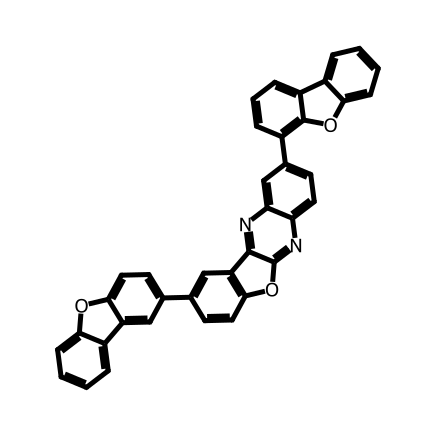 c1ccc2c(c1)oc1ccc(-c3ccc4oc5nc6ccc(-c7cccc8c7oc7ccccc78)cc6nc5c4c3)cc12